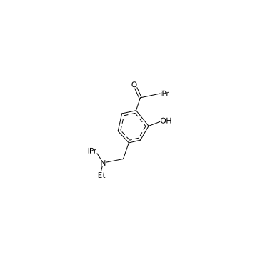 CCN(Cc1ccc(C(=O)C(C)C)c(O)c1)C(C)C